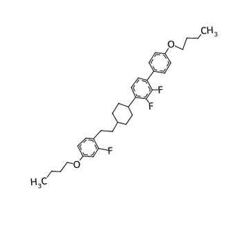 CCCCOc1ccc(-c2ccc(C3CCC(CCc4ccc(OCCCC)cc4F)CC3)c(F)c2F)cc1